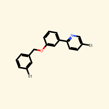 CCc1ccc(-c2cccc(OCc3cccc(CC)c3)c2)nc1